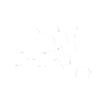 C[C@H]1C(=O)C(C#N)=C[C@@]2(C)c3c(c(-c4cccnc4)nn3-c3ccc(-c4ccccc4)cc3)CC[C@H]12